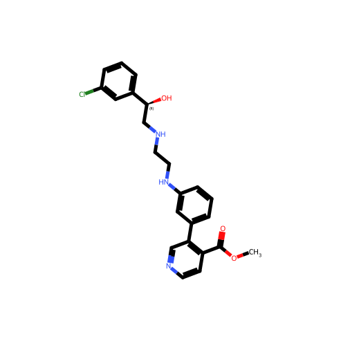 COC(=O)c1ccncc1-c1cccc(NCCNC[C@H](O)c2cccc(Cl)c2)c1